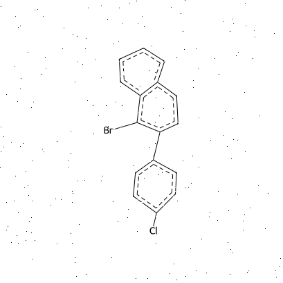 Clc1ccc(-c2ccc3ccccc3c2Br)cc1